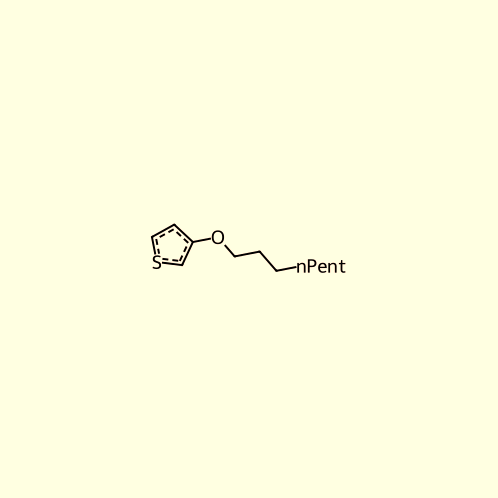 CCCCCCCCOc1ccsc1